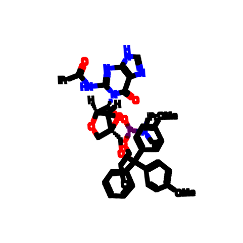 COc1ccc(C(OC[C@@]23CO[C@@H]([C@H](n4c(NC(=O)C(C)C)nc5[nH]cnc5c4=O)O2)[C@@H]3OP(OCCC#N)N(C(C)C)C(C)C)(c2ccccc2)c2ccc(OC)cc2)cc1